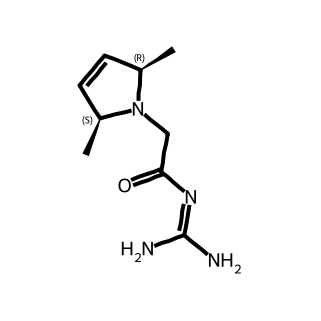 C[C@@H]1C=C[C@H](C)N1CC(=O)N=C(N)N